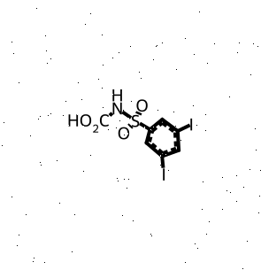 O=C(O)NS(=O)(=O)c1cc(I)cc(I)c1